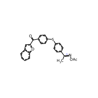 CC(=O)O/N=C(\C)c1ccc(Sc2ccc(C(=O)c3cc4ccccc4o3)cc2)cc1